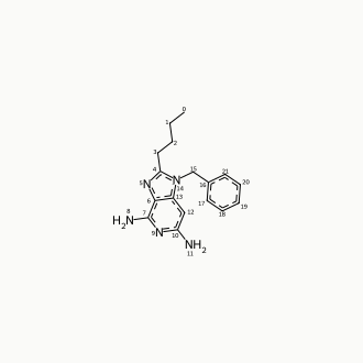 CCCCc1nc2c(N)nc(N)cc2n1Cc1ccccc1